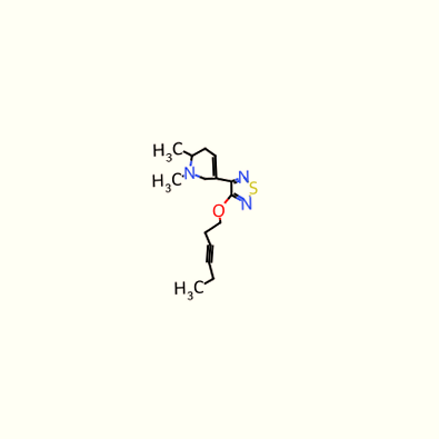 CCC#CCCOc1nsnc1C1=CCC(C)N(C)C1